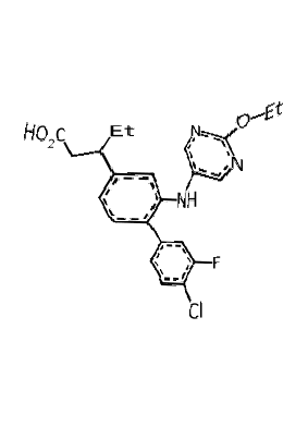 CCOc1ncc(Nc2cc(C(CC)CC(=O)O)ccc2-c2ccc(Cl)c(F)c2)cn1